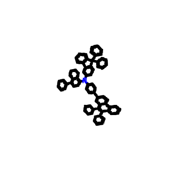 c1ccc(-c2ccc(N(c3ccc(-c4ccc5c(c4)c(-c4ccccc4)c(-c4ccccc4)c4ccccc45)cc3)c3ccc4c(c3)-c3ccccc3C4(c3ccccc3)c3ccccc3)c3ccccc23)cc1